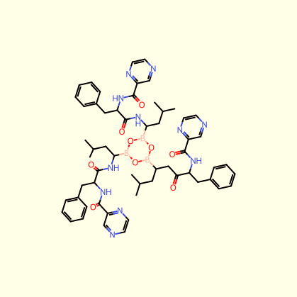 CC(C)CC(CC(=O)C(Cc1ccccc1)NC(=O)c1cnccn1)B1OB(C(CC(C)C)NC(=O)C(Cc2ccccc2)NC(=O)c2cnccn2)OB(C(CC(C)C)NC(=O)C(Cc2ccccc2)NC(=O)c2cnccn2)O1